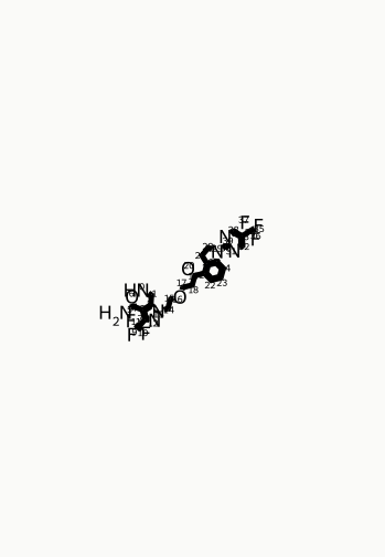 N=Cc1c(C(N)=O)c(C(F)(F)F)nn1CCOCCC(=O)c1cccc2c1CCN2c1ncc(C(F)(F)F)cn1